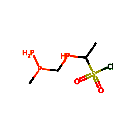 CC(PCP(C)P)S(=O)(=O)Cl